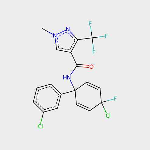 Cn1cc(C(=O)NC2(c3cccc(Cl)c3)C=CC(F)(Cl)C=C2)c(C(F)(F)F)n1